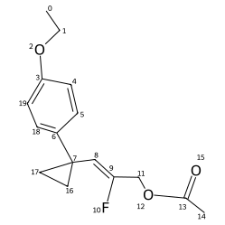 CCOc1ccc(C2(C=C(F)COC(C)=O)CC2)cc1